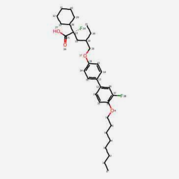 CCCCCCCCOc1ccc(-c2ccc(OCC(CC)C[C@@](F)(C(=O)O)C3CCCCC3)cc2)cc1F